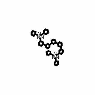 C1=CCCC(c2nc(-c3ccccc3)nc(-c3cccc(-c4cccc(-c5cccc(-c6cccc(-c7cccc(-c8nc(-c9ccccc9)nc(-c9ccccc9)n8)c7)c6)c5)c4)c3)n2)=C1